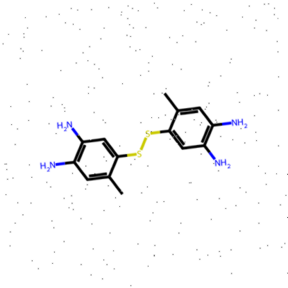 Cc1cc(N)c(N)cc1SSc1cc(N)c(N)cc1C